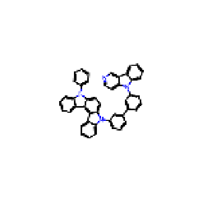 c1ccc(-n2c3ccccc3c3c4c5ccccc5n(-c5cccc(-c6cccc(-n7c8ccccc8c8cnccc87)c6)c5)c4ccc32)cc1